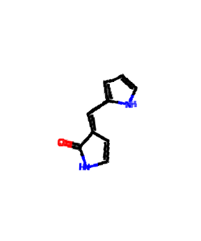 O=C1NC=CC1=Cc1ccc[nH]1